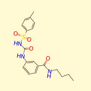 CCCCNC(=O)c1cccc(NC(=O)NS(=O)(=O)c2ccc(C)cc2)c1